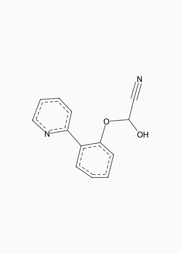 N#CC(O)Oc1ccccc1-c1ccccn1